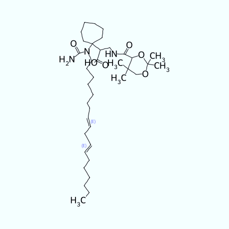 CCCCCC/C=C/C/C=C/CCCCCCCN(C(N)=O)C1(C(CNC(=O)C2OC(C)(C)OCC2(C)C)C(=O)O)CCCCCC1